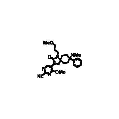 CN[C@]1(c2ccccc2)CC[C@@]2(CC1)CN(c1cnc(C#N)nc1OC)C(=O)N2CCCOC